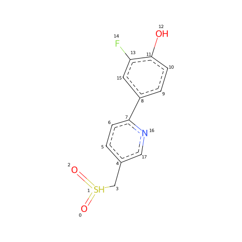 O=[SH](=O)Cc1ccc(-c2ccc(O)c(F)c2)nc1